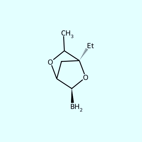 B[C@@H]1O[C@@]2(CC)CC1OC2C